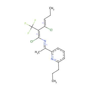 CC/C=C(Cl)/C(=C(Cl)\N=C(/C)c1cccc(CCC)n1)C(F)(F)F